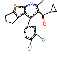 Cc1nc2sc3c(c2c(-c2ccc(Cl)c(Cl)c2)c1C(=O)C1CC1)CCC3